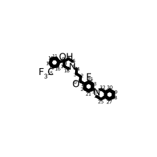 O=C(CCCN1CCC(O)(c2cccc(C(F)(F)F)c2)CC1)c1ccc(N2CCc3ccccc3C2)cc1F